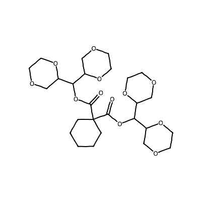 O=C(OC(C1COCCO1)C1COCCO1)C1(C(=O)OC(C2COCCO2)C2COCCO2)CCCCC1